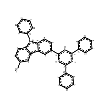 Brc1ccc2c(c1)c1cc(-c3nc(-c4ccccc4)nc(-c4ccccc4)n3)ccc1n2-c1ccccc1